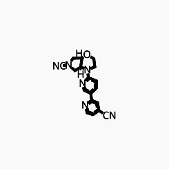 N#Cc1ccnc(-c2ccc(N3CCO[C@H]4CN(C#N)C[C@H]43)nc2)c1